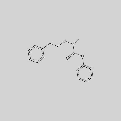 CC(OCCc1ccccc1)C(=O)Oc1ccccc1